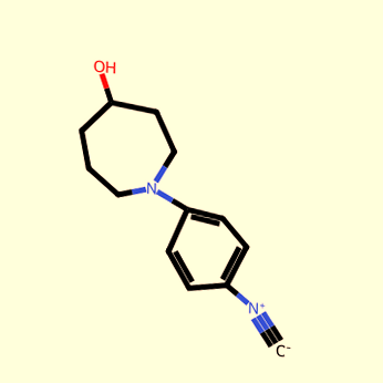 [C-]#[N+]c1ccc(N2CCCC(O)CC2)cc1